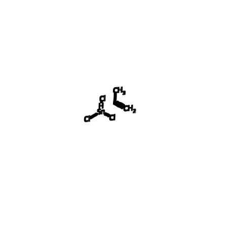 C=CC.[Cl][SnH]([Cl])[Cl]